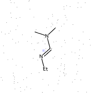 CC/N=[C]/N(C)C